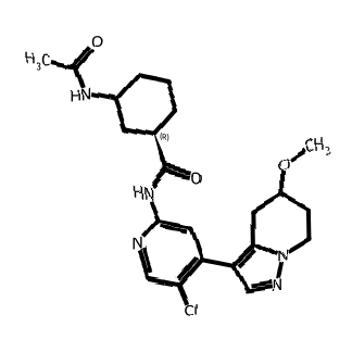 COC1CCn2ncc(-c3cc(NC(=O)[C@@H]4CCCC(NC(C)=O)C4)ncc3Cl)c2C1